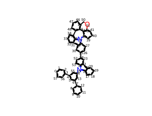 c1ccc(-c2cc(-c3ccccc3)cc(-n3c4ccccc4c4cc(-c5ccc6c(c5)c5cccc7c5n6-c5cccc6c5-c5c(cccc5-7)CO6)ccc43)c2)cc1